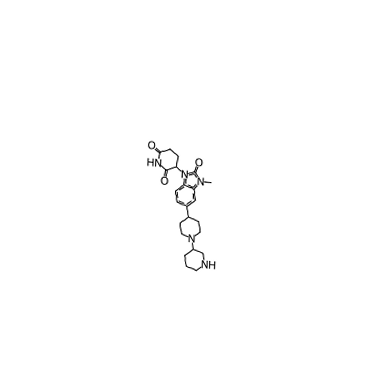 Cn1c(=O)n(C2CCC(=O)NC2=O)c2ccc(C3CCN(C4CCCNC4)CC3)cc21